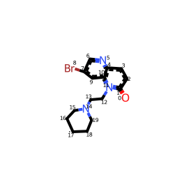 O=c1ccc2ncc(Br)cc2n1CCN1CC[CH]CC1